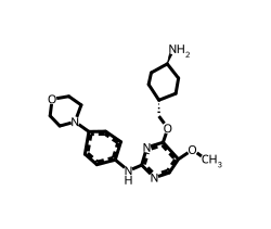 COc1cnc(Nc2ccc(N3CCOCC3)cc2)nc1OC[C@H]1CC[C@H](N)CC1